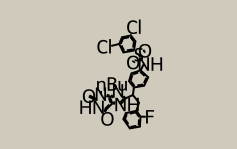 CCCCn1c(=O)[nH]c(=O)c2[nH]c(C(Cc3ccccc3F)c3ccc(NS(=O)(=O)c4cc(Cl)cc(Cl)c4)cc3)nc21